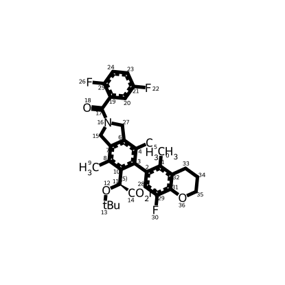 Cc1c(-c2c(C)c3c(c(C)c2[C@H](OC(C)(C)C)C(=O)O)CN(C(=O)c2cc(F)ccc2F)C3)cc(F)c2c1CCCO2